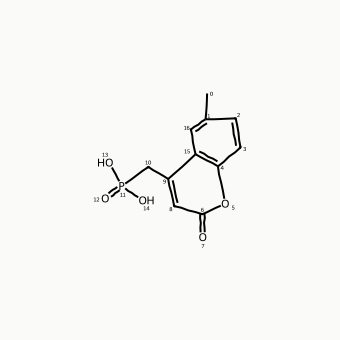 Cc1ccc2oc(=O)cc(CP(=O)(O)O)c2c1